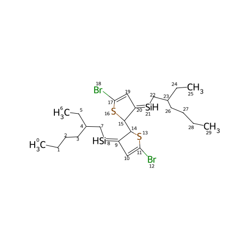 CCCCC(CC)C[SiH]=C1C=C(Br)SC1C1SC(Br)=CC1=[SiH]CC(CC)CCCC